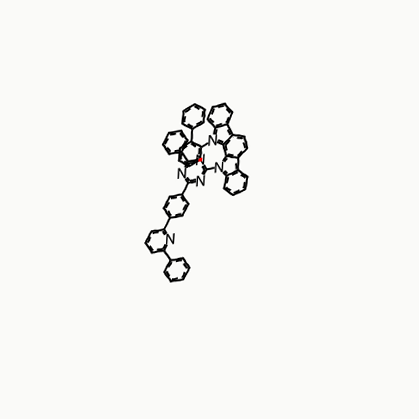 c1ccc(-c2cccc(-c3ccc(-c4nc(-c5ccccc5)nc(-n5c6ccccc6c6ccc7c8ccccc8n(-c8ccccc8-c8ccccc8)c7c65)n4)cc3)n2)cc1